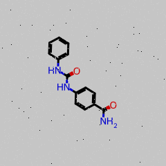 NC(=O)c1ccc(NC(=O)Nc2ccccc2)cc1